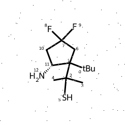 CC(C)(C)C1(C(C)(C)S)CC(F)(F)C[C@H]1N